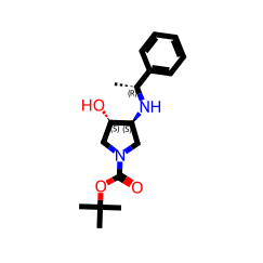 C[C@@H](N[C@H]1CN(C(=O)OC(C)(C)C)C[C@@H]1O)c1ccccc1